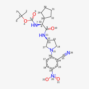 CC(C)(C)OC(=O)N[C@H](C(=O)N[C@H]1CCN(c2ccc([N+](=O)[O-])cc2C#N)C1)C1CCCC1